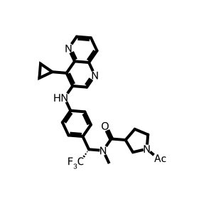 CC(=O)N1CCC(C(=O)N(C)[C@@H](c2ccc(Nc3cnc4cccnc4c3C3CC3)cc2)C(F)(F)F)C1